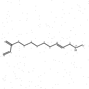 C=CC(=C)CCCCCC/C=C/CPC